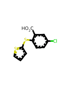 O=C(O)c1cc(Cl)ccc1Sc1cccs1